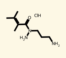 CC(C)=C(C)C(=O)N(N)CCCN.Cl